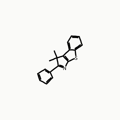 CC1(C)C(c2ccccc2)=Nc2sc3ccccc3c21